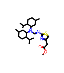 COC(=O)Cc1csc(N=CN(C2CC(C)CCC2C(C)C)C2CC(C)CCC2C(C)C)n1